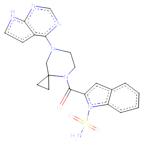 NS(=O)(=O)n1c(C(=O)N2CCN(c3ncnc4[nH]ccc34)CC23CC3)cc2ccccc21